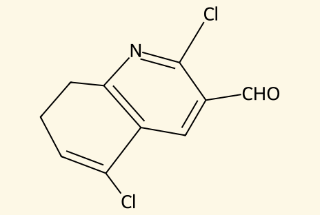 O=Cc1cc2c(nc1Cl)CCC=C2Cl